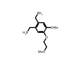 BCc1cc(OC)c(OCCOC)cc1CB